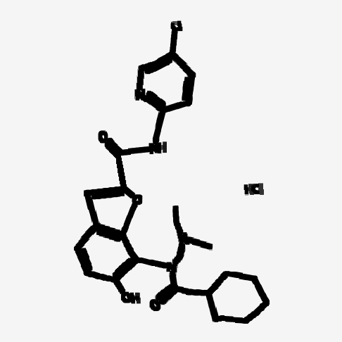 CN(C)N(C(=O)C1CCCCC1)c1c(O)ccc2cc(C(=O)Nc3ccc(Cl)cn3)oc12.Cl